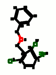 [18F]c1ccc(Cl)c(COCc2ccccc2)c1Cl